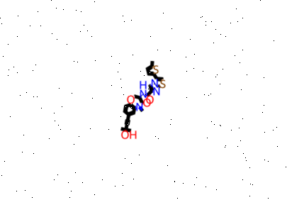 Cc1ccc(-c2csc3nc(C(=O)N[C@H]4COc5ccc(C#CC(C)(C)O)cc5N(C)C4=O)cn23)s1